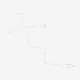 COCOCS(=O)(=O)O